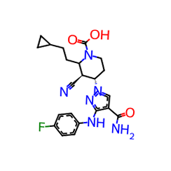 N#C[C@H]1C(CCC2CC2)N(C(=O)O)CC[C@@H]1n1cc(C(N)=O)c(Nc2ccc(F)cc2)n1